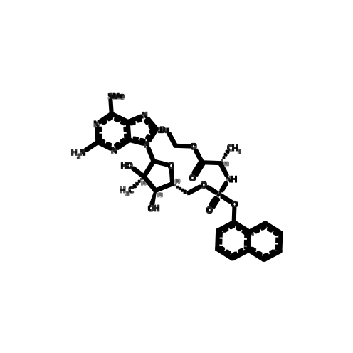 CSc1nc(N)nc2c1ncn2C1O[C@H](COP(=O)(N[C@@H](C)C(=O)OCC(C)(C)C)Oc2cccc3ccccc23)[C@@H](O)[C@@]1(C)O